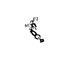 CCOc1ccnc(Oc2ccc3c(c2)CCN(C2=CC=C2)CC3)c1C#N